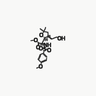 COC(=O)[C@H](NS(=O)(=O)c1ccc(OC)cc1)[C@@H]1OC(C)(C)C[C@H]1CCO